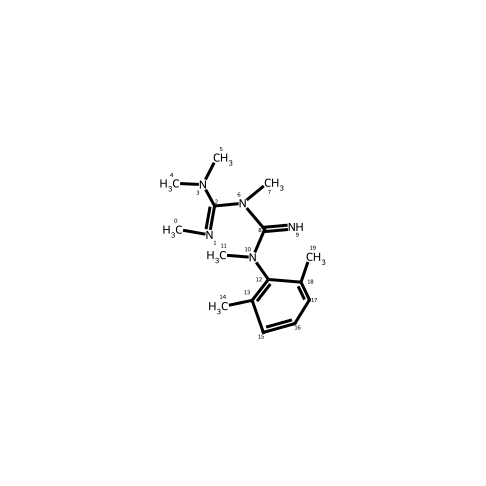 CN=C(N(C)C)N(C)C(=N)N(C)c1c(C)cccc1C